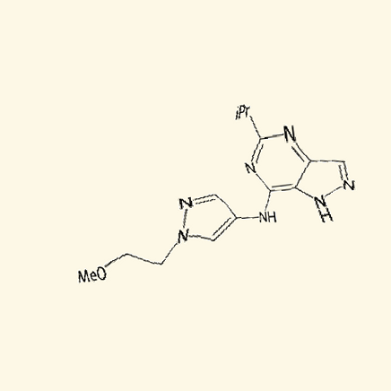 COCCn1cc(Nc2nc(C(C)C)nc3cn[nH]c23)cn1